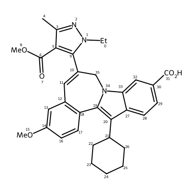 CCn1nc(C)c(C(=O)OC)c1C1=Cc2cc(OC)ccc2-c2c(C3CCCCC3)c3ccc(C(=O)O)cc3n2C1